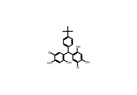 CC(C)(C)c1ccc(C(c2cc(Cl)c(O)cc2O)c2cc(Cl)c(O)cc2O)cc1